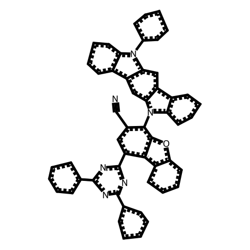 N#Cc1cc(-c2nc(-c3ccccc3)nc(-c3ccccc3)n2)c2c(oc3ccccc32)c1-n1c2ccccc2c2cc3c(cc21)c1ccccc1n3-c1ccccc1